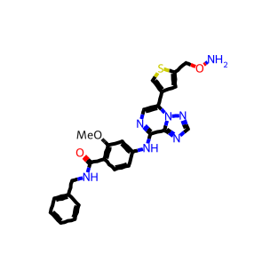 COc1cc(Nc2ncc(-c3csc(CON)c3)n3ncnc23)ccc1C(=O)NCc1ccccc1